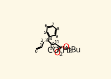 C=CC[C@H](c1ccccc1)[C@H](CC(=O)OC(C)(C)C)C(=O)O